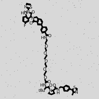 Cc1ncsc1-c1ccc(CNC(=O)C2CCCN2C(=O)C(NC(=O)COCCOCCOCCOCCOCCNC(=O)c2ccc(-c3ccc4c(c3)C(=O)N(C(C(=O)Nc3nccs3)c3cc(F)ccc3O)C4)cc2)C(C)(C)C)cc1